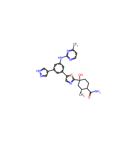 C[C@H]1C[C@](O)(c2ncc(-c3cc(Nc4nccc(C(F)(F)F)n4)cc(-c4cn[nH]c4)c3)s2)CCC1C(N)=O